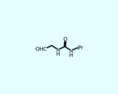 CC(C)NC(=O)NC[C]=O